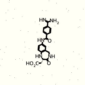 N=C(N)c1ccc(C(=O)Nc2ccc3c(c2)CNC(=O)[C@H](CC(=O)O)N3)cc1